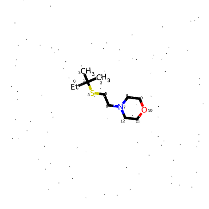 CCC(C)(C)SCCN1CCOCC1